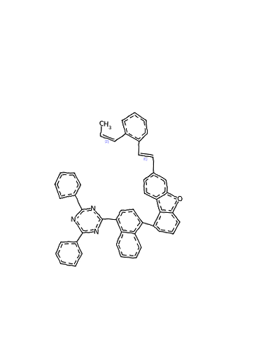 C/C=C\c1ccccc1/C=C/c1ccc2c(c1)oc1cccc(-c3ccc(-c4nc(-c5ccccc5)nc(-c5ccccc5)n4)c4ccccc34)c12